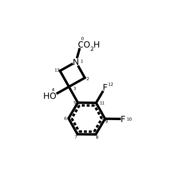 O=C(O)N1CC(O)(c2cccc(F)c2F)C1